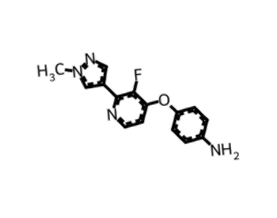 Cn1cc(-c2nccc(Oc3ccc(N)cc3)c2F)cn1